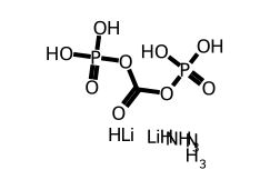 N.N.O=C(OP(=O)(O)O)OP(=O)(O)O.[LiH].[LiH]